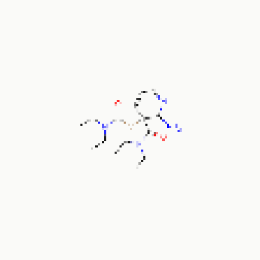 CCN(CC)C(=O)SC1(C(=O)N(CC)CC)C=CC=NC1N